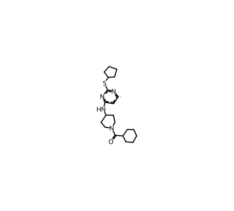 O=C(C1CCCCC1)N1CCC(Nc2c[c]nc(SC3CCCC3)n2)CC1